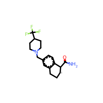 NC(=O)C1[C]CCc2cc(CN3CCC(C(F)(F)F)CC3)ccc21